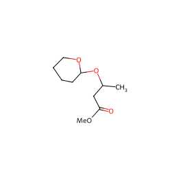 COC(=O)CC(C)OC1CCCCO1